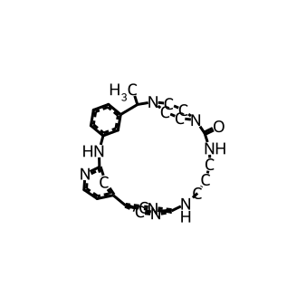 CC1c2cccc(c2)Nc2cc(ccn2)-c2cnc(nc2)NCCCNC(=O)N2CCN1CC2